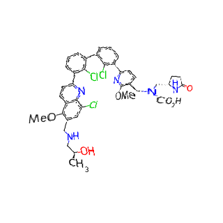 COc1nc(-c2cccc(-c3cccc(-c4ccc5c(OC)c(CNC[C@H](C)O)cc(Cl)c5n4)c3Cl)c2Cl)ccc1CN(C[C@@H]1CCC(=O)N1)C(=O)O